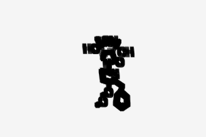 COCOc1ccc(N2C[C@H](C(C)(O)O)[C@H](C(C)(O)O)C2=O)nc1Cc1ccccc1